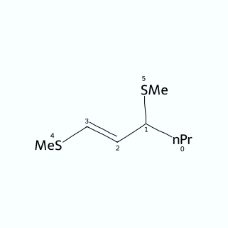 CCCC(C=CSC)SC